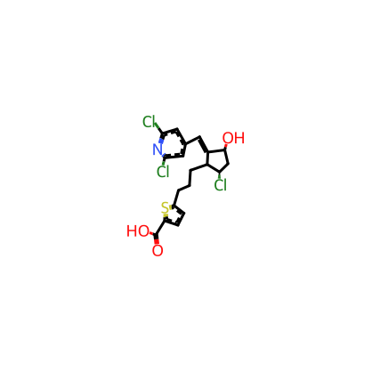 O=C(O)c1ccc(CCCC2/C(=C\c3cc(Cl)nc(Cl)c3)C(O)C[C@H]2Cl)s1